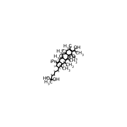 C=C1C2=C(C)C(CCCCC(C)(O)O)CC(C(C)C)=C2CC2(C)CC3(C)CC(C)=C(C(C)O)C(=O)C3(C)C(C)=C12